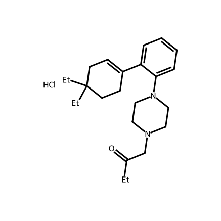 CCC(=O)CN1CCN(c2ccccc2C2=CCC(CC)(CC)CC2)CC1.Cl